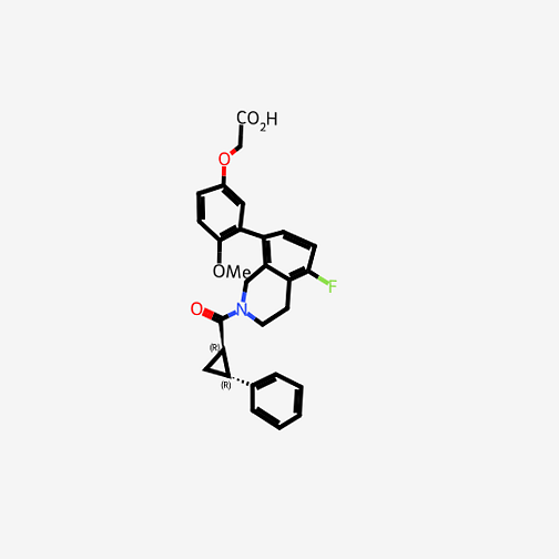 COc1ccc(OCC(=O)O)cc1-c1ccc(F)c2c1CN(C(=O)[C@@H]1C[C@H]1c1ccccc1)CC2